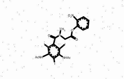 CC(=O)Nc1c(I)c(NC(C)=O)c(I)c(C(=O)N(C)CC(=O)Oc2ccccc2[N+](=O)[O-])c1I